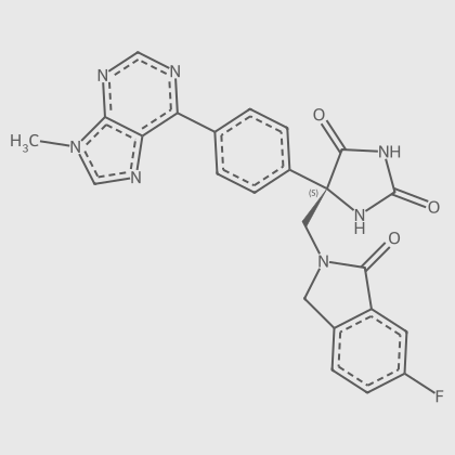 Cn1cnc2c(-c3ccc([C@@]4(CN5Cc6ccc(F)cc6C5=O)NC(=O)NC4=O)cc3)ncnc21